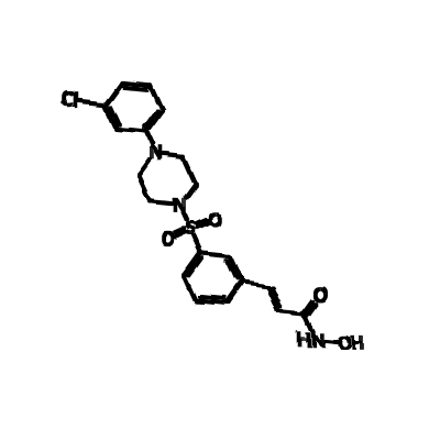 O=C(/C=C/c1cccc(S(=O)(=O)N2CCN(c3cccc(Cl)c3)CC2)c1)NO